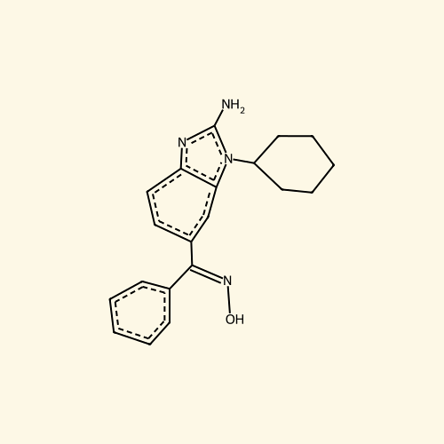 Nc1nc2ccc(C(=NO)c3ccccc3)cc2n1C1CCCCC1